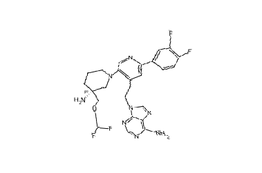 Nc1ncnc2c1ncn2Cc1cc(-c2ccc(F)c(F)c2)ncc1N1CCC[C@](N)(COC(F)F)C1